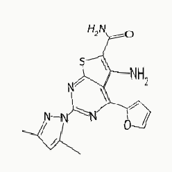 Cc1cc(C)n(-c2nc(-c3ccco3)c3c(N)c(C(N)=O)sc3n2)n1